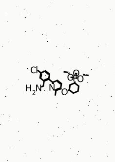 CCOP(=O)(OCC)C1CCCC(Oc2ccc(-c3ccc(Cl)cc3CN)nc2C)C1